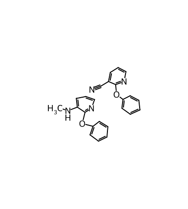 CNc1cccnc1Oc1ccccc1.N#Cc1cccnc1Oc1ccccc1